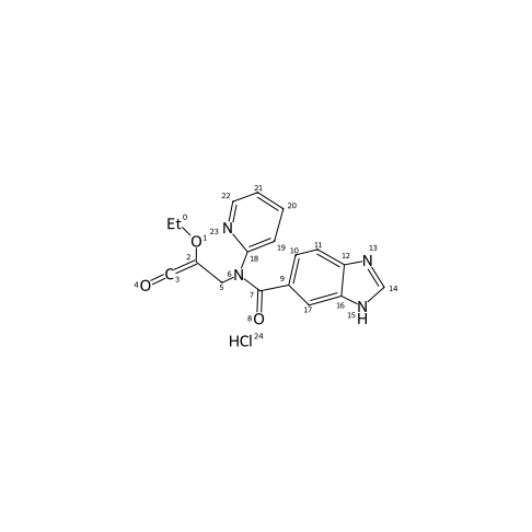 CCOC(=C=O)CN(C(=O)c1ccc2nc[nH]c2c1)c1ccccn1.Cl